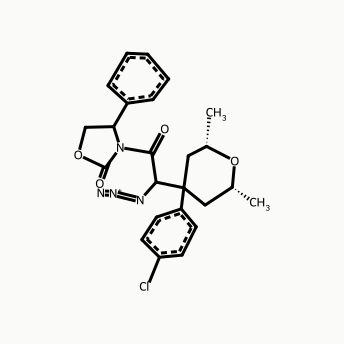 C[C@@H]1CC(c2ccc(Cl)cc2)(C(N=[N+]=[N-])C(=O)N2C(=O)OCC2c2ccccc2)C[C@H](C)O1